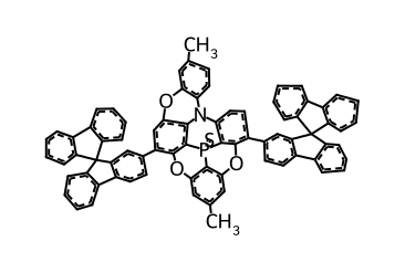 Cc1ccc2c(c1)Oc1cc(-c3ccc4c(c3)C3(c5ccccc5-c5ccccc53)c3ccccc3-4)c3c4c1N2c1ccc(-c2ccc5c(c2)C2(c6ccccc6-c6ccccc62)c2ccccc2-5)c2c1P4(=S)c1c(cc(C)cc1O3)O2